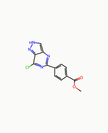 COC(=O)c1ccc(-c2nc(Cl)c3n[nH]cc3n2)cc1